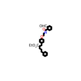 CCOC(=O)C(CCCc1ccccc1)Cc1ccc(OCC=NC(=O)c2ccccc2C=O)cc1